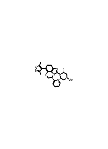 CC(=O)N1C[C@@H](C)N(c2nc3ccc(-c4c(C)noc4C)c4c3n2[C@@H](c2ccccn2)CO4)[C@@H](C)C1